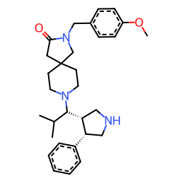 COc1ccc(CN2CC3(CCN(C(C(C)C)[C@@H]4CNC[C@@H]4c4ccccc4)CC3)CC2=O)cc1